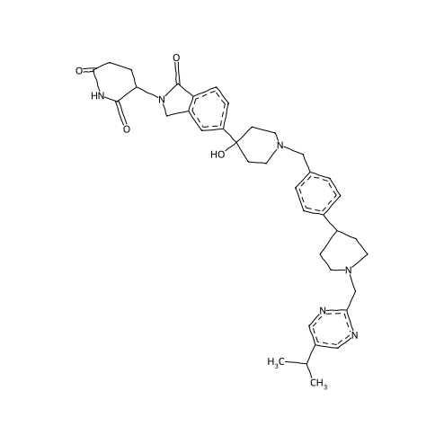 CC(C)c1cnc(CN2CCC(c3ccc(CN4CCC(O)(c5ccc6c(c5)CN(C5CCC(=O)NC5=O)C6=O)CC4)cc3)CC2)nc1